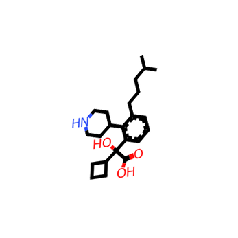 CC(C)CCCc1cccc(C(O)(C(=O)O)C2CCC2)c1C1CCNCC1